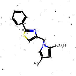 Cc1cc(C(=O)O)n(Cc2csc(-c3ccccc3)n2)c1